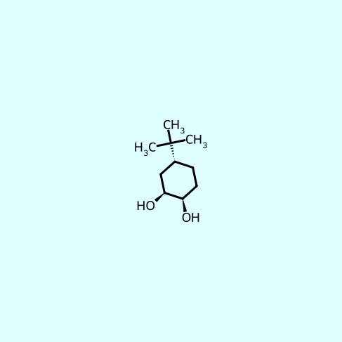 CC(C)(C)[C@@H]1CC[C@@H](O)[C@@H](O)C1